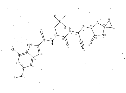 COc1cc(Cl)c2[nH]c(C(=O)NC(C[Si](C)(C)C)C(=O)NC(C#N)CC3CC4(CC4)NC3=O)cc2c1